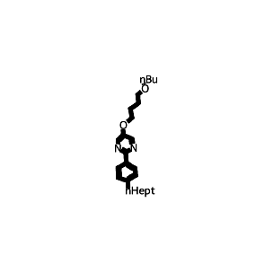 CCCCCCCc1ccc(-c2ncc(OCCCCOCCCC)cn2)cc1